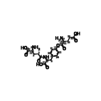 N[C@@H](CCC(=O)N[C@@H](Cc1ccc(OC(=O)[C@@H](N)CCC(=O)O)cc1)C(=O)O)C(=O)O